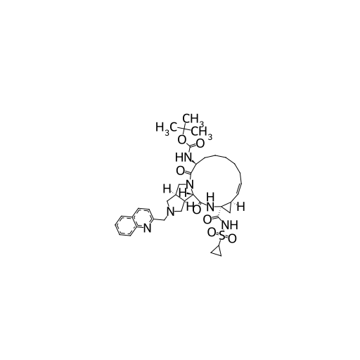 CC(C)(C)OC(=O)N[C@H]1CCCCC/C=C\[C@H]2C[C@@]2(C(=O)NS(=O)(=O)C2CC2)NC(=O)[C@@H]2[C@H]3CN(Cc4ccc5ccccc5n4)C[C@H]3CN2C1=O